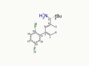 C/C=C(\C=C(/C)[C@H](N)C(C)(C)C)c1cc(F)ccc1F